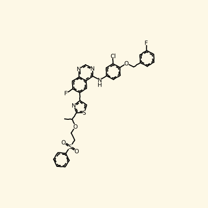 CC(OCCS(=O)(=O)c1ccccc1)c1nc(-c2cc3c(Nc4ccc(OCc5cccc(F)c5)c(Cl)c4)ncnc3cc2F)cs1